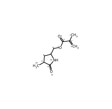 C=C(C)C(=O)OCC1CC(C)C(=O)N1